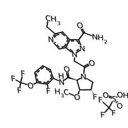 CCc1cc2c(C(N)=O)nn(CC(=O)N3C[C@H](F)[C@@H](OC)[C@H]3C(=O)Nc3cccc(OC(F)(F)F)c3F)c2cn1.O=S(=O)(O)C(F)(F)F